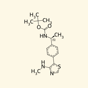 CNc1ncsc1-c1ccc([C@H](C)NC(=O)OC(C)(C)C)cc1